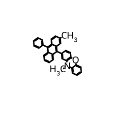 Cc1ccc2c(-c3ccccc3)c3ccccc3c(-c3ccc4c(c3)N(C)c3ccccc3O4)c2c1